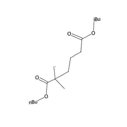 [CH2]C(C)(CCCC(=O)OC(C)CC)C(=O)OCCCC